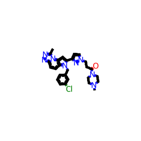 Cc1nnc2ccc3c(cc(-c4ccn(CCC(=O)N5CCN(C)CC5)n4)n3Cc3cccc(Cl)c3)n12